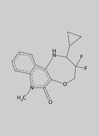 Cn1c(=O)c2c(c3ccccc31)NC(C1CC1)C(F)(F)CO2